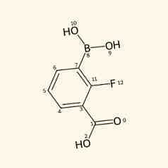 O=C(O)c1cccc(B(O)O)c1F